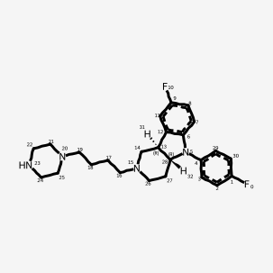 Fc1ccc(N2c3ccc(F)cc3[C@@H]3CN(CCCCN4CCNCC4)CC[C@H]32)cc1